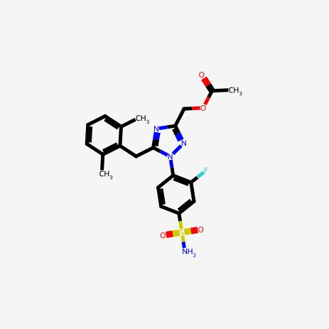 CC(=O)OCc1nc(Cc2c(C)cccc2C)n(-c2ccc(S(N)(=O)=O)cc2F)n1